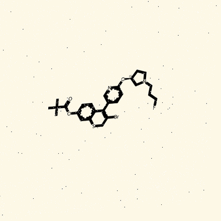 CC(C)(C)C(=O)Oc1ccc2c(c1)SCC(Br)=C2c1ccc(O[C@H]2CCN(CCCF)C2)nc1